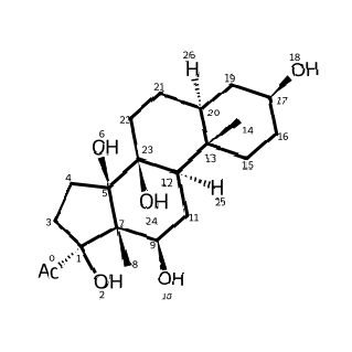 CC(=O)[C@]1(O)CC[C@@]2(O)[C@]1(C)[C@H](O)C[C@@H]1[C@@]3(C)CC[C@H](O)C[C@@H]3CC[C@]12O